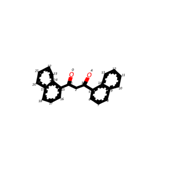 O=C(CC(=O)c1cccc2ccccc12)c1cccc2ccccc12